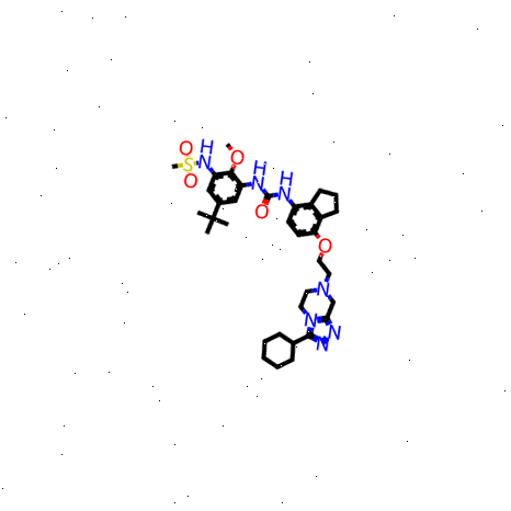 COc1c(NC(=O)Nc2ccc(OCCN3CCn4c(nnc4C4CCCCC4)C3)c3c2CCC3)cc(C(C)(C)C)cc1NS(C)(=O)=O